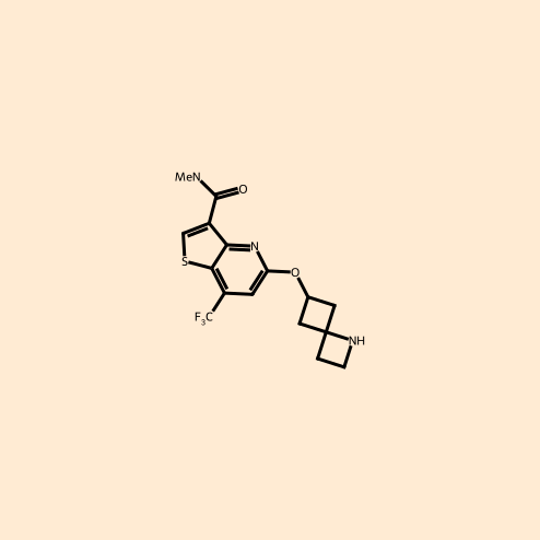 CNC(=O)c1csc2c(C(F)(F)F)cc(OC3CC4(CCN4)C3)nc12